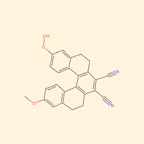 COc1ccc2c(c1)CCc1c(C#N)c(C#N)c3c(c1-2)-c1ccc(OO)cc1CC3